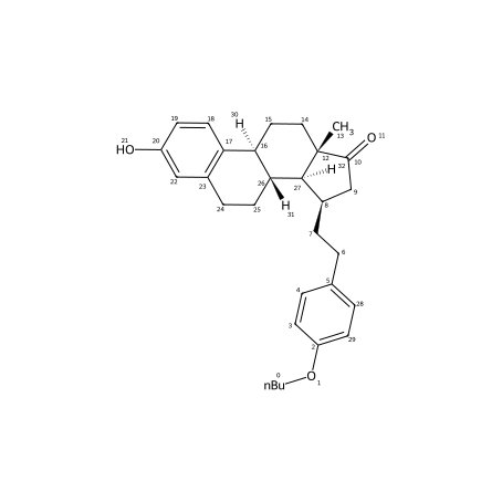 CCCCOc1ccc(CC[C@@H]2CC(=O)[C@@]3(C)CC[C@@H]4c5ccc(O)cc5CC[C@H]4[C@H]23)cc1